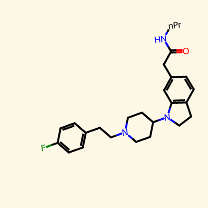 CCCNC(=O)Cc1ccc2c(c1)N(C1CCN(CCc3ccc(F)cc3)CC1)CC2